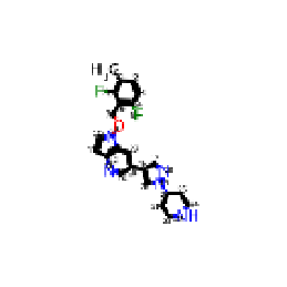 Cc1ccc(F)c(COn2ccc3ncc(-c4cnn(C5CCNCC5)c4)cc32)c1F